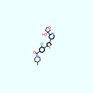 CC1CCN(C(=O)c2ccc(-c3cc(-c4ccnc(C5(O)CCOC5)c4)cs3)c(Cl)c2)CC1